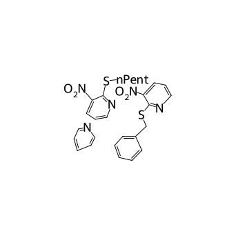 CCCCCSc1ncccc1[N+](=O)[O-].O=[N+]([O-])c1cccnc1SCc1ccccc1.c1ccncc1